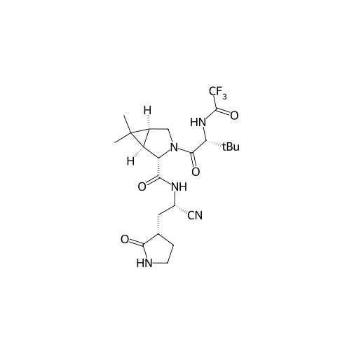 CC(C)(C)[C@@H](NC(=O)C(F)(F)F)C(=O)N1C[C@H]2[C@@H]([C@H]1C(=O)N[C@H](C#N)C[C@@H]1CCNC1=O)C2(C)C